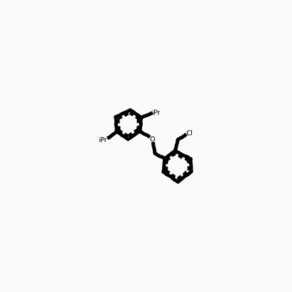 CC(C)c1ccc(C(C)C)c(OCc2ccccc2CCl)c1